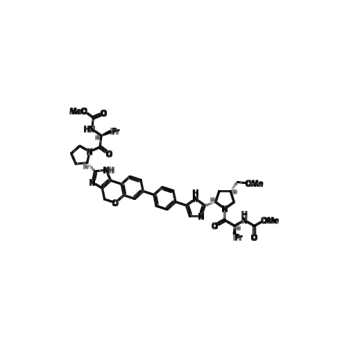 COC[C@H]1C[C@@H](c2ncc(-c3ccc(-c4ccc5c(c4)OCc4nc([C@@H]6CCCN6C(=O)[C@@H](NC(=O)OC)C(C)C)[nH]c4-5)cc3)[nH]2)N(C(=O)[C@@H](NC(=O)OC)C(C)C)C1